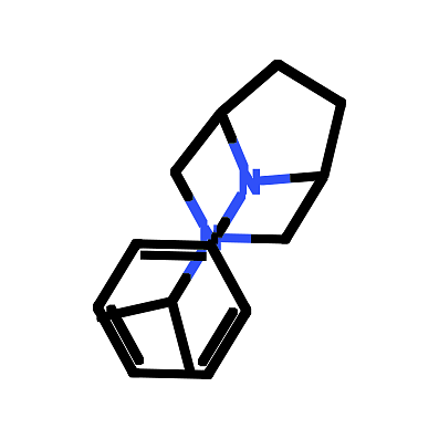 CC(C)N1CC2CCC(C1)N2c1ccccc1